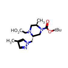 Cc1cnn(C[C@H]2CN(C(=O)OC(C)(C)C)[C@H](C)CN2CC(=O)O)c1